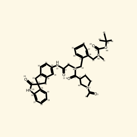 CC(=O)N1CCC(C(=O)N(CC(=O)Nc2ccc3c(c2)CC2(C3)C(=O)Nc3ccccc32)Cc2ccccc2CN(C)C(=O)OC(C)(C)C)C1